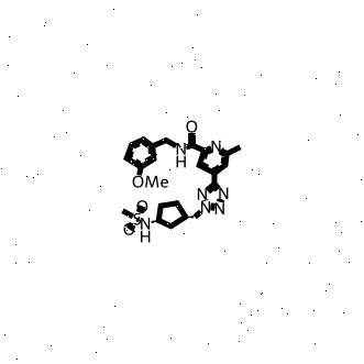 COc1cccc(CNC(=O)c2cc(-c3nnn(C[C@H]4CC[C@@H](NS(C)(=O)=O)C4)n3)cc(C)n2)c1